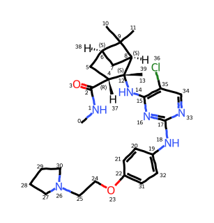 CNC(=O)[C@@H]1C[C@@H]2C[C@@H](C2(C)C)[C@]1(C)Nc1nc(Nc2ccc(OCCN3CCCC3)cc2)ncc1Cl